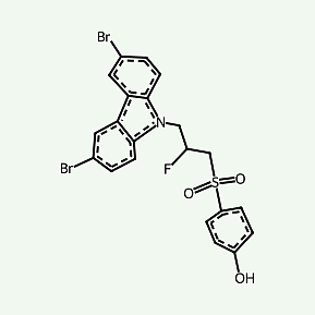 O=S(=O)(CC(F)Cn1c2ccc(Br)cc2c2cc(Br)ccc21)c1ccc(O)cc1